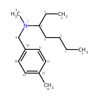 CCCCC(CC)N(C)Cc1ccc(C)cc1